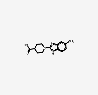 Nc1ccc2[nH]c(N3CCC(C(=O)O)CC3)nc2c1